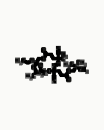 CCO[Si](COC(=O)CCC(C)(C#N)/N=N/C(C)(C#N)CCC(=O)OC[Si](C)(C)C)(OCC)OCC